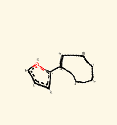 [c]1ccc(C2CCCCC2)o1